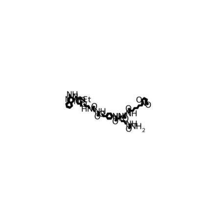 CCOCc1nc2c(N)nc3ccccc3c2n1CC(C)(C)OCCNC(=O)CNC(=O)OCc1ccc(NC(=O)[C@H](CCCNC(N)=O)NC(=O)CNC(=O)CCCCCN2C(=O)C=CC2=O)cc1